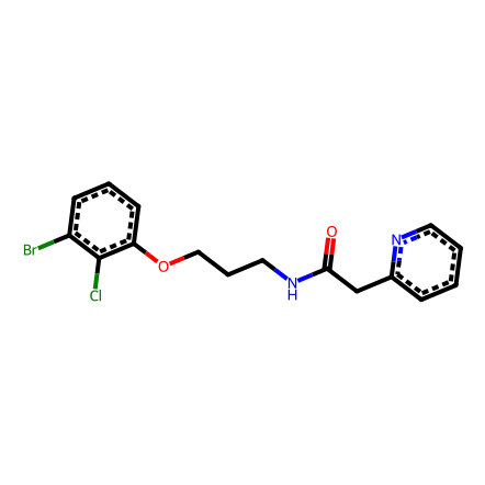 O=C(Cc1ccccn1)NCCCOc1cccc(Br)c1Cl